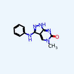 Cn1cc2c(Nc3ccccc3)n[nH]c2nc1=O